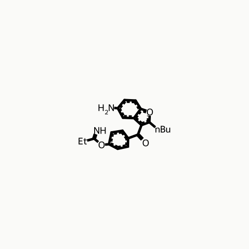 CCCCc1oc2ccc(N)cc2c1C(=O)c1ccc(OC(=N)CC)cc1